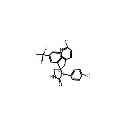 O=C1NC[C@](Cc2ccc(Cl)nc2)(c2cccc(C(F)(F)F)c2)N1c1ccc(Cl)cc1